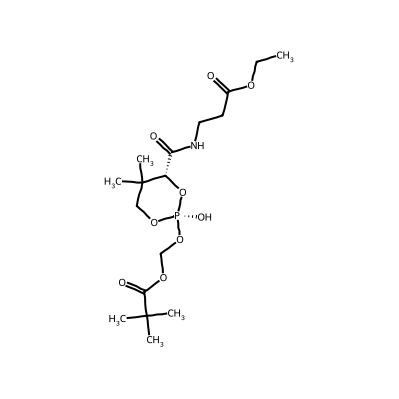 CCOC(=O)CCNC(=O)[C@@H]1O[P@@](O)(OCOC(=O)C(C)(C)C)OCC1(C)C